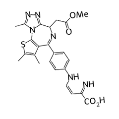 COC(=O)CC1N=C(c2ccc(N/C=C\C(=N)C(=O)O)cc2)c2c(sc(C)c2C)-n2c(C)nnc21